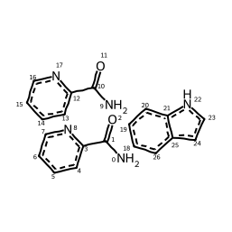 NC(=O)c1ccccn1.NC(=O)c1ccccn1.c1ccc2[nH]ccc2c1